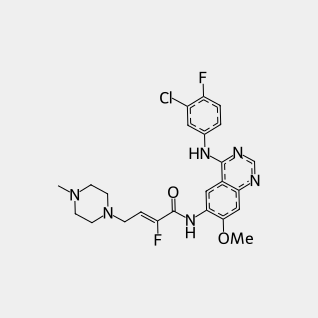 COc1cc2ncnc(Nc3ccc(F)c(Cl)c3)c2cc1NC(=O)/C(F)=C/CN1CCN(C)CC1